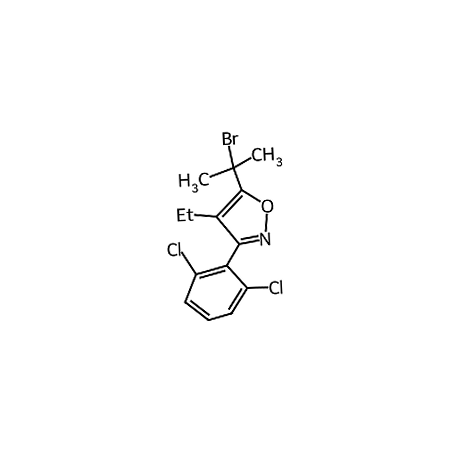 CCc1c(-c2c(Cl)cccc2Cl)noc1C(C)(C)Br